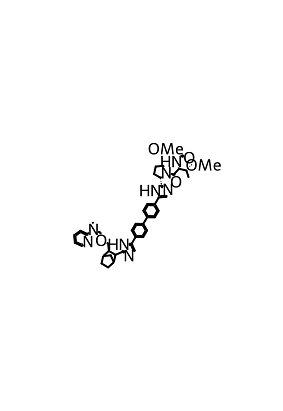 COC(=O)N[C@H](C(=O)N1CCC[C@H]1c1ncc(-c2ccc(-c3ccc(-c4cnc(C5C6CCC(C6)C5COCN(C)c5ccccn5)[nH]4)cc3)cc2)[nH]1)[C@@H](C)OC